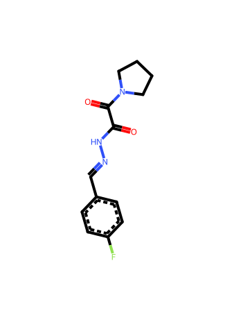 O=C(N/N=C/c1ccc(F)cc1)C(=O)N1CCCC1